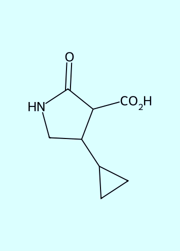 O=C(O)C1C(=O)NCC1C1CC1